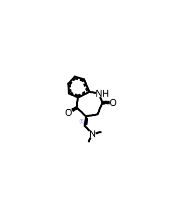 CN(C)/C=C1\CC(=O)Nc2ccccc2C1=O